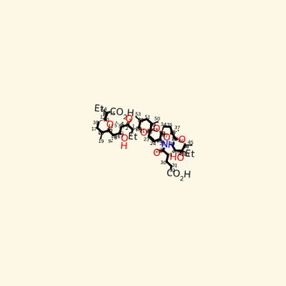 CCC(C(=O)[C@@H](C)[C@@H](O)[C@H](C)[C@@H]1O[C@@H]([C@@H](CC)C(=O)O)CC[C@@H]1C)[C@H]1O[C@]2(C=C[C@@H](NC(=O)CCCC(=O)O)[C@]3(CC[C@@](C)([C@H]4CC[C@](O)(CC)[C@H](C)O4)O3)O2)[C@H](C)C[C@@H]1C